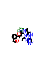 C=C(NCC1(C(F)(F)F)CC(C)(c2cccc3c2OCC3)O1)c1cnn(-c2ccncc2)c1/N=C(\N)CC